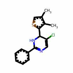 Cc1csc(C2NC(c3ccccc3)=NC=C2Cl)c1C